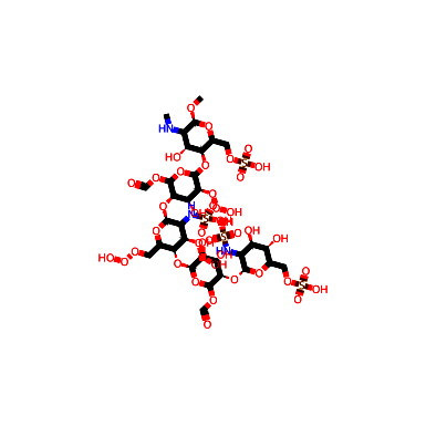 CNC1[C@@H](OC)OC(COS(=O)(=O)O)[C@@H](OC2OC(OC=O)[C@H](O[C@@H]3OC(COOO)[C@@H](O[C@@H]4OC(OC=O)[C@@H](O[C@H]5OC(COS(=O)(=O)O)[C@@H](O)[C@H](O)C5NS(=O)(=O)O)[C@H](O)C4O)[C@H](OOO)C3NS(=O)(=O)O)[C@@H](O)[C@@H]2OOO)[C@@H]1O